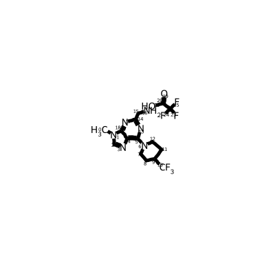 Cn1cnc2c(N3CCC(C(F)(F)F)CC3)nc(CN)nc21.O=C(O)C(F)(F)F